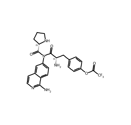 Nc1nccc2cc(N(C(=O)[C@@H]3CCCN3)C(=O)[C@@H](N)Cc3ccc(OC(=O)C(F)(F)F)cc3)ccc12